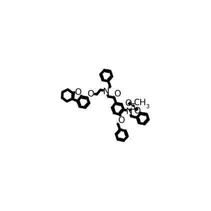 CS(=O)(=O)N(Cc1ccccc1)c1cc(C(=O)CN(CCOc2cccc3c4c(oc23)CCCC4)Cc2ccccc2)ccc1OCc1ccccc1